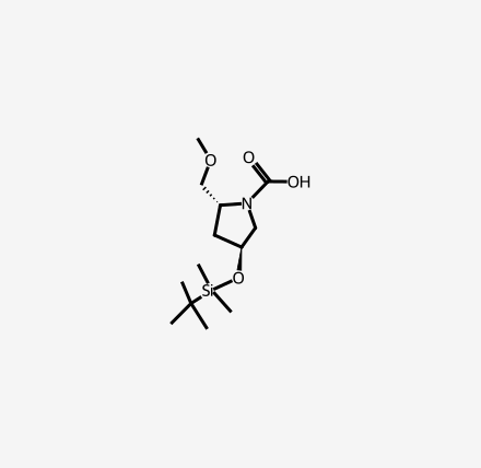 COC[C@H]1C[C@H](O[Si](C)(C)C(C)(C)C)CN1C(=O)O